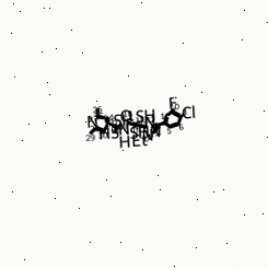 CCn1nc(-c2ccc(Cl)c(F)c2)nc1C(S)(S)C(=O)NC(S)(S)c1cc(C)nc(C)c1